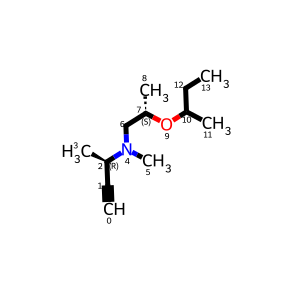 C#C[C@@H](C)N(C)C[C@H](C)OC(C)CC